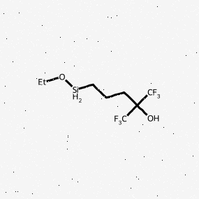 CCO[SiH2]CCCC(O)(C(F)(F)F)C(F)(F)F